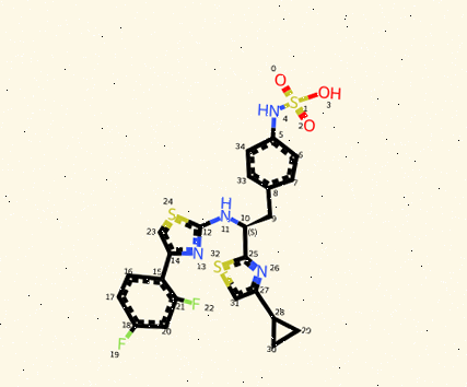 O=S(=O)(O)Nc1ccc(C[C@H](Nc2nc(-c3ccc(F)cc3F)cs2)c2nc(C3CC3)cs2)cc1